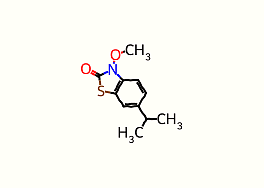 COn1c(=O)sc2cc(C(C)C)ccc21